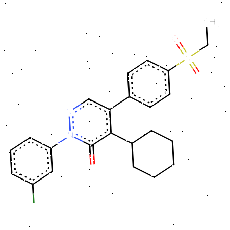 CCS(=O)(=O)c1ccc(-c2cnn(-c3cccc(Cl)c3)c(=O)c2C2CCCCC2)cc1